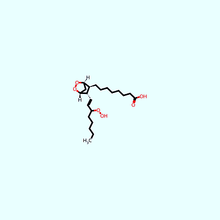 CCCCCC(C=C[C@H]1[C@H](CCCCCCCC(=O)O)[C@H]2C[C@H]1OO2)OO